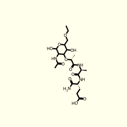 CCOCC1OC(O)C(NC(C)=O)C(O[C@H](C)C(=O)N[C@@H](C)C(=O)N[C@H](CCC(=O)O)C(N)=O)C1O